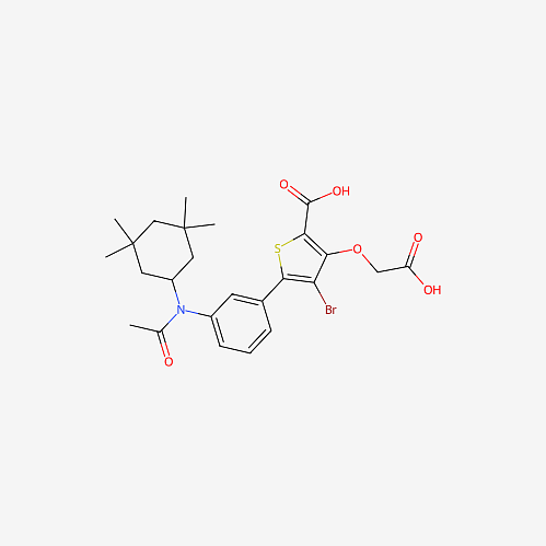 CC(=O)N(c1cccc(-c2sc(C(=O)O)c(OCC(=O)O)c2Br)c1)C1CC(C)(C)CC(C)(C)C1